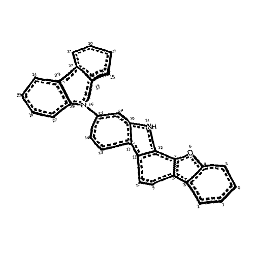 c1ccc2c(c1)oc1c2ccc2c3ccc(-n4c5ccccc5c5ccccc54)cc3[nH]c21